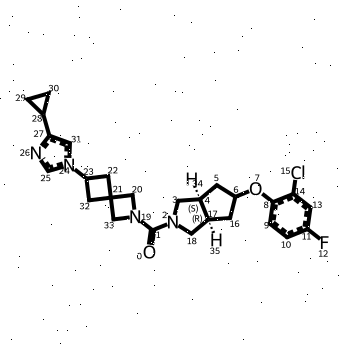 O=C(N1C[C@H]2CC(Oc3ccc(F)cc3Cl)C[C@H]2C1)N1CC2(CC(n3cnc(C4CC4)c3)C2)C1